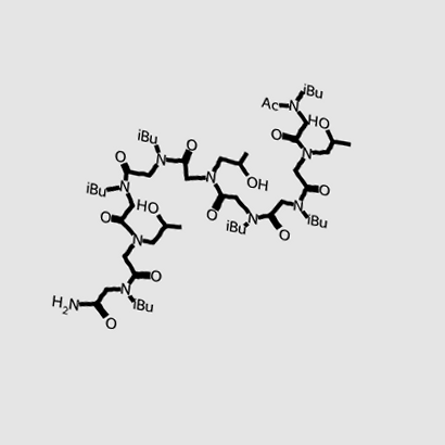 CCC(C)N(CC(=O)N(CC(=O)N(CC(=O)N(CC(=O)N(CC(=O)N(CC(=O)N(CC(=O)N(CC(=O)N(CC(N)=O)C(C)CC)CC(C)O)C(C)CC)C(C)CC)CC(C)O)C(C)CC)C(C)CC)CC(C)O)C(C)=O